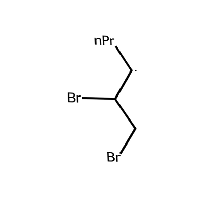 CCC[CH]C(Br)CBr